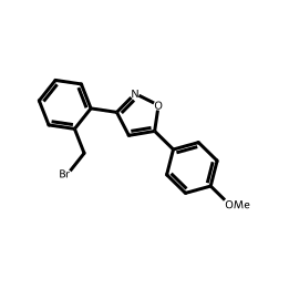 COc1ccc(-c2cc(-c3ccccc3CBr)no2)cc1